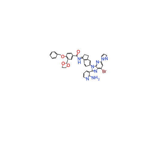 Nc1ncccc1-c1nc2c(Br)cc(-n3cccn3)nc2n1-c1ccc2c(c1)CC[C@@H]2NC(=O)c1ccc(OCc2ccccc2)c(C2OCCO2)c1